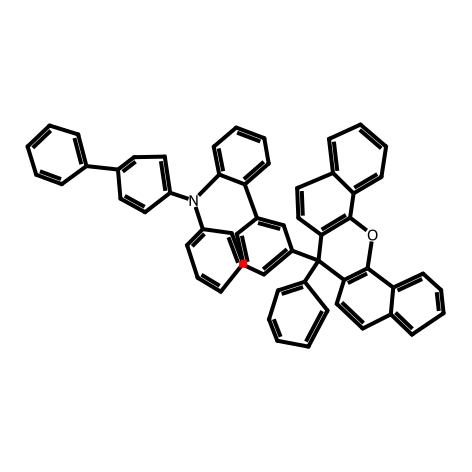 c1ccc(-c2ccc(N(c3ccccc3)c3ccccc3-c3cccc(C4(c5ccccc5)c5ccc6ccccc6c5Oc5c4ccc4ccccc54)c3)cc2)cc1